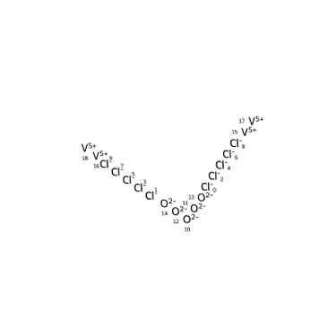 [Cl-].[Cl-].[Cl-].[Cl-].[Cl-].[Cl-].[Cl-].[Cl-].[Cl-].[Cl-].[O-2].[O-2].[O-2].[O-2].[O-2].[V+5].[V+5].[V+5].[V+5]